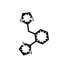 c1ccc(-c2nccs2)c(Cc2nccs2)c1